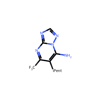 CCCC(C)c1c(C(F)(F)F)nc2ncnn2c1N